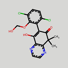 CC1(C)C(=O)C(c2c(Cl)ccc(Cl)c2OCO)=C(O)c2nccnc21